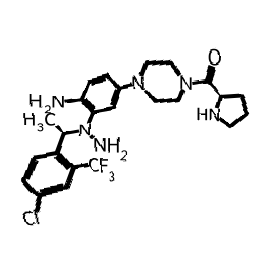 C[C@H](c1ccc(Cl)cc1C(F)(F)F)N(N)c1cc(N2CCN(C(=O)[C@H]3CCCN3)CC2)ccc1N